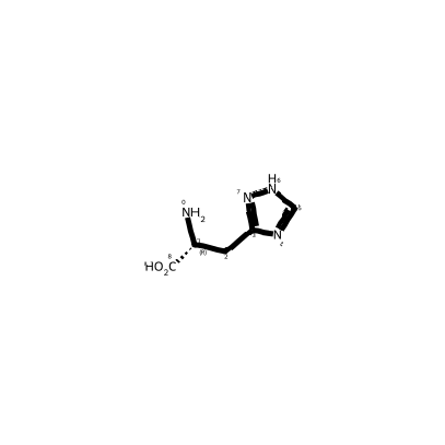 N[C@H](Cc1nc[nH]n1)C(=O)O